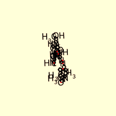 COc1cc(CN2CCC3(CCC(N4CCN(c5ccc(C(=O)NS(=O)(=O)c6ccc(NCC7CCC(C)(O)CC7)c([N+](=O)[O-])c6)c(N6c7cc8cc[nH]c8nc7O[C@H]7COCC[C@@H]76)c5)CC4)CC3)[C@H](c3ccccc3C(C)C)C2)cnc1N1CCOCC1